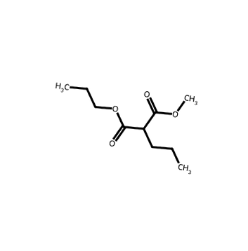 CCCOC(=O)C(CCC)C(=O)OC